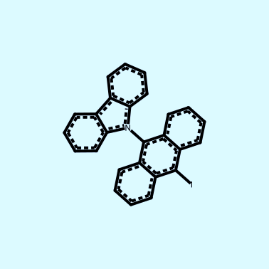 Ic1c2ccccc2c(-n2c3ccccc3c3ccccc32)c2ccccc12